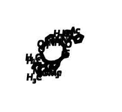 CO[C@@H](C)c1ncccc1-c1c2c3cc(ccc3n1C)-c1csc(n1)C[C@H](NC(=O)[C@H](C1CCCC1)N(C)C(C)=O)C(=O)N1CCC[C@H](N1)C(=O)OCC(C)(C)C2